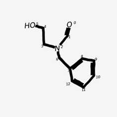 O=CN(CCO)Cc1ccccc1